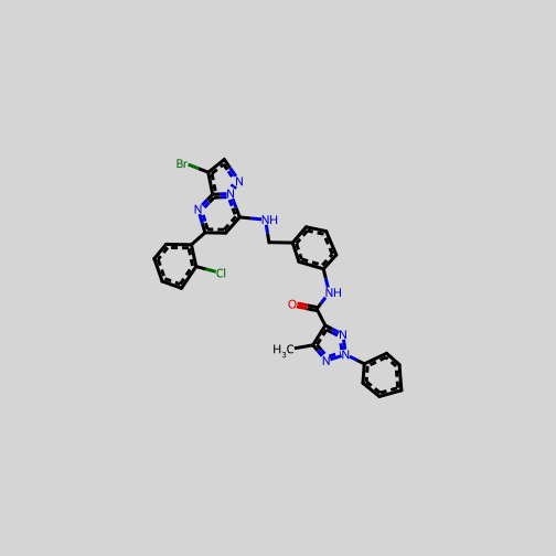 Cc1nn(-c2ccccc2)nc1C(=O)Nc1cccc(CNc2cc(-c3ccccc3Cl)nc3c(Br)cnn23)c1